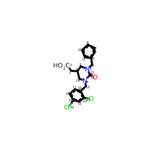 O=C(O)CC1CN(Cc2ccccc2)C(=O)N(Cc2ccc(Cl)cc2Cl)C1